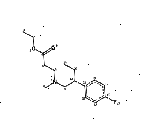 CCOC(=O)CCN(C)CC(CC)c1ccc(F)cc1